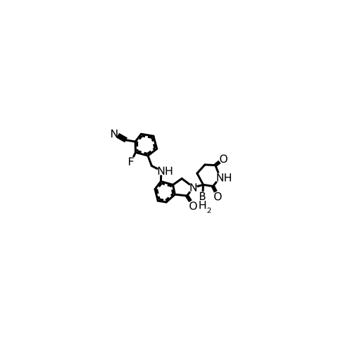 BC1(N2Cc3c(NCc4cccc(C#N)c4F)cccc3C2=O)CCC(=O)NC1=O